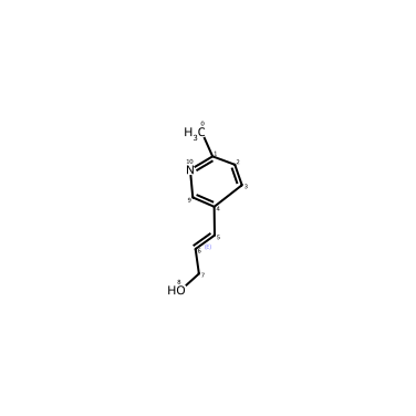 Cc1ccc(/C=C/CO)cn1